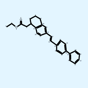 CCOC(=O)CC1CCCc2cc(/C=C/c3ccc(-c4ccccc4)cc3)ccc21